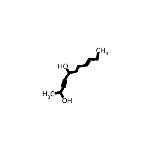 CCC=CCCC(O)C#CC(C)O